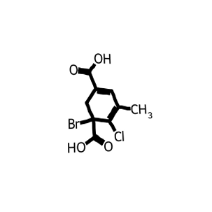 CC1=C(Cl)C(Br)(C(=O)O)CC(C(=O)O)=C1